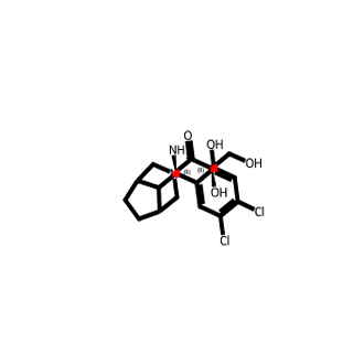 N[C@@H](c1cc(Cl)c(Cl)cc1O)C1C2CCC1CN(C(=O)[C@H](O)CO)C2